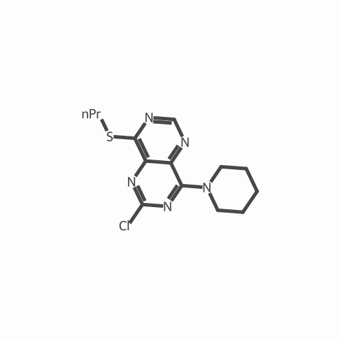 CCCSc1ncnc2c(N3CCCCC3)nc(Cl)nc12